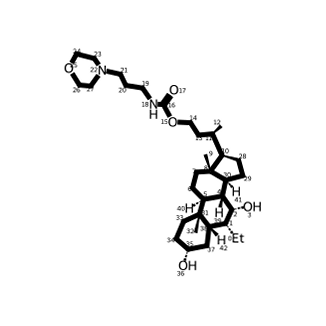 CC[C@H]1[C@@H](O)[C@@H]2[C@H](CC[C@]3(C)[C@@H]([C@H](C)CCOC(=O)NCCCN4CCOCC4)CC[C@@H]23)[C@@]2(C)CC[C@@H](O)C[C@@H]12